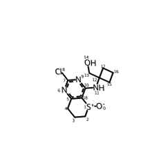 [O-][S+]1CCCc2nc(Cl)nc(NC3(CO)CCC3)c21